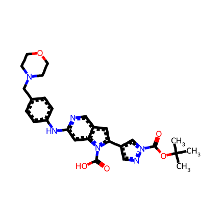 CC(C)(C)OC(=O)n1cc(-c2cc3cnc(Nc4ccc(CN5CCOCC5)cc4)cc3n2C(=O)O)cn1